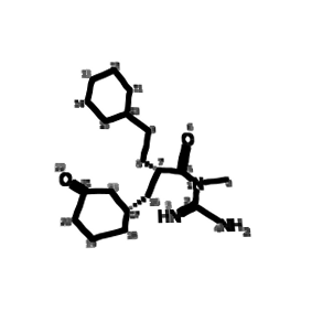 CN(C(=N)N)C(=O)[C@@H](CCC1CCCCC1)C[C@@H]1CCCC(=O)C1